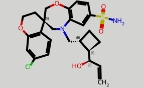 C=C[C@@H](O)[C@@H]1CC[C@H]1CN1C[C@@]2(CCOc3cc(Cl)ccc32)COc2ccc(S(N)(=O)=O)cc21